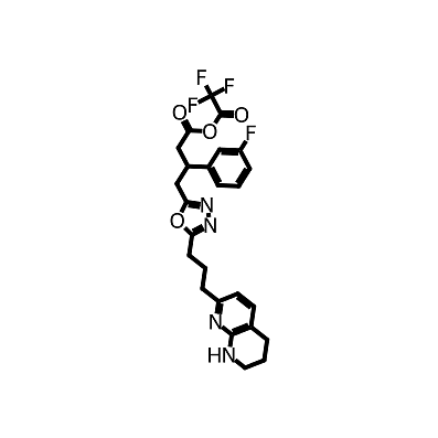 O=C(CC(Cc1nnc(CCCc2ccc3c(n2)NCCC3)o1)c1cccc(F)c1)OC(=O)C(F)(F)F